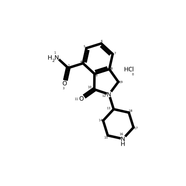 Cl.NC(=O)c1cccc2c1C(=O)N(C1CCNCC1)C2